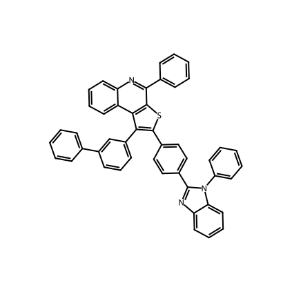 c1ccc(-c2cccc(-c3c(-c4ccc(-c5nc6ccccc6n5-c5ccccc5)cc4)sc4c(-c5ccccc5)nc5ccccc5c34)c2)cc1